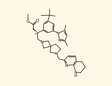 COC(=O)C[C@H](CN1CC2(CCN(Cc3ccc4c(n3)NCCC4)C2)C1)c1cc(-n2nc(C)cc2C)cc(C(C)(C)C)c1